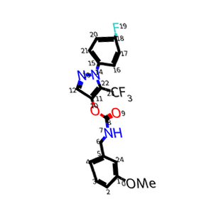 COc1cccc(CNC(=O)Oc2cnn(-c3ccc(F)cc3)c2C(F)(F)F)c1